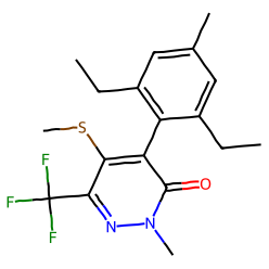 CCc1cc(C)cc(CC)c1-c1c(SC)c(C(F)(F)F)nn(C)c1=O